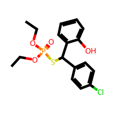 CCOP(=O)(OCC)SC(c1ccc(Cl)cc1)c1ccccc1O